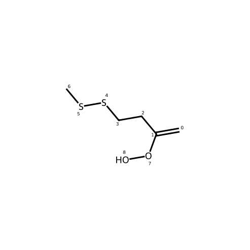 C=C(CCSSC)OO